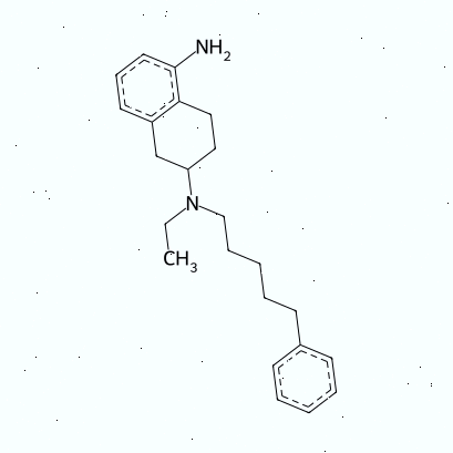 CCN(CCCCCc1ccccc1)C1CCc2c(N)cccc2C1